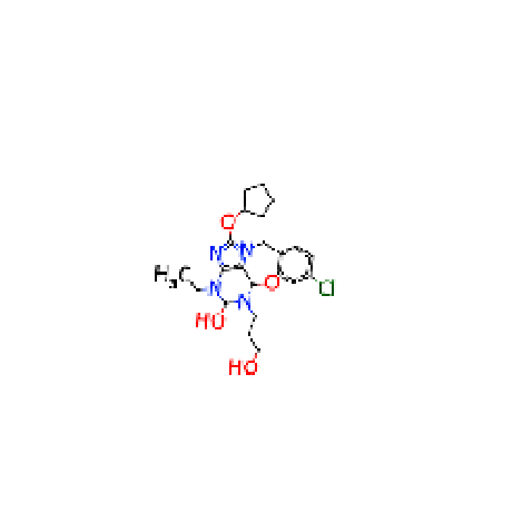 CCN1c2nc(OC3CCCC3)n(Cc3ccc(Cl)cc3)c2C(=O)N(CCCO)C1O